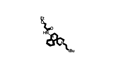 CCOCCC(=O)N[C@@H]1CCC2(CCN(CCC(C)(C)C)CC2)c2ccccc21